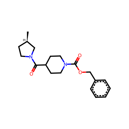 C[C@@H]1CCN(C(=O)C2CCN(C(=O)OCc3ccccc3)CC2)C1